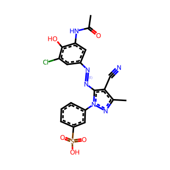 CC(=O)Nc1cc(/N=N/c2c(C#N)c(C)nn2-c2cccc(S(=O)(=O)O)c2)cc(Cl)c1O